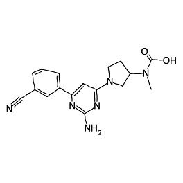 CN(C(=O)O)C1CCN(c2cc(-c3cccc(C#N)c3)nc(N)n2)C1